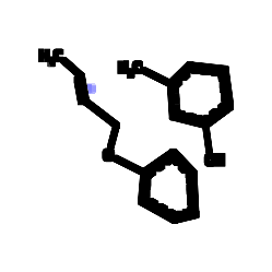 C/C=C/COc1ccccc1.Cc1cccc(O)c1